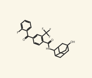 O=C(c1ccc(C(=O)NC2C3CC4CC2CC(O)(C4)C3)c(C(F)(F)F)c1)c1ccccc1F